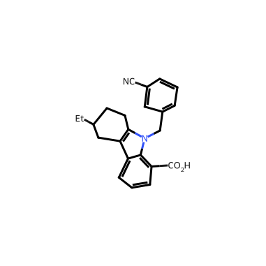 CCC1CCc2c(c3cccc(C(=O)O)c3n2Cc2cccc(C#N)c2)C1